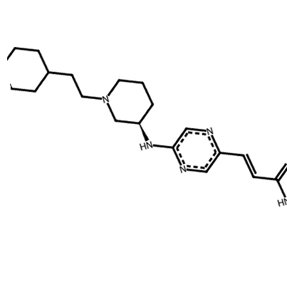 O=C(/C=C/c1cnc(N[C@@H]2CCCN(CCC3CCCCC3)C2)cn1)NO